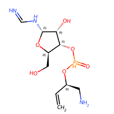 C=C[C@H](CN)O[PH](=O)O[C@H]1[C@@H](O)[C@@H](NC=N)O[C@@H]1CO